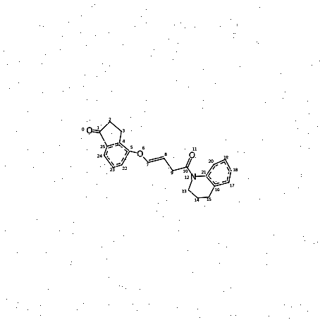 O=C1CCc2c(OC=CCC(=O)N3CCCc4ccccc43)cccc21